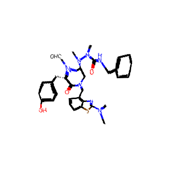 CN(C)c1nc2c(CN3C[C@H](N(C)N(C)C(=O)NCc4ccccc4)N(C=O)[C@@H](Cc4ccc(O)cc4)C3=O)cccc2s1